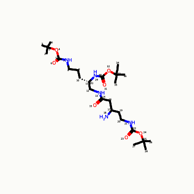 CC(C)(C)OC(=O)NCCC[C@@H](CNC(=O)CC(N)CCNC(=O)OC(C)(C)C)NC(=O)OC(C)(C)C